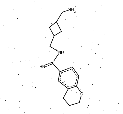 N=C(NCC1CC(CN)C1)c1ccc2c(c1)CCCO2